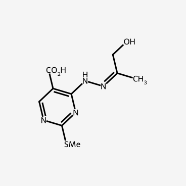 CSc1ncc(C(=O)O)c(NN=C(C)CO)n1